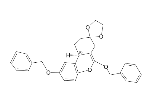 c1ccc(COC2=C3CC4(CC[C@@H]3c3cc(OCc5ccccc5)ccc3O2)OCCO4)cc1